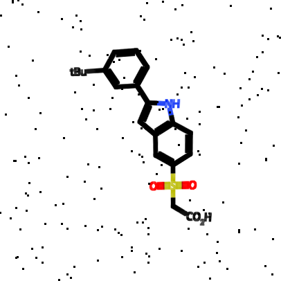 CC(C)(C)c1cccc(-c2cc3cc(S(=O)(=O)CC(=O)O)ccc3[nH]2)c1